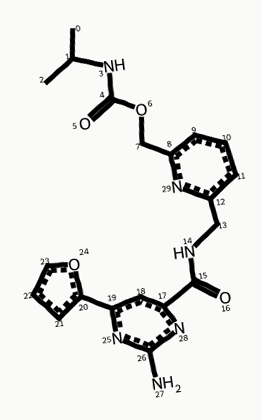 CC(C)NC(=O)OCc1cccc(CNC(=O)c2cc(-c3ccco3)nc(N)n2)n1